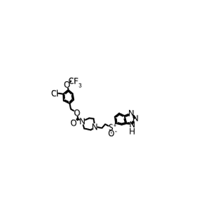 O=C(OCc1ccc(OC(F)(F)F)c(Cl)c1)N1CCN(CC[S@@+]([O-])c2ccc3nn[nH]c3c2)CC1